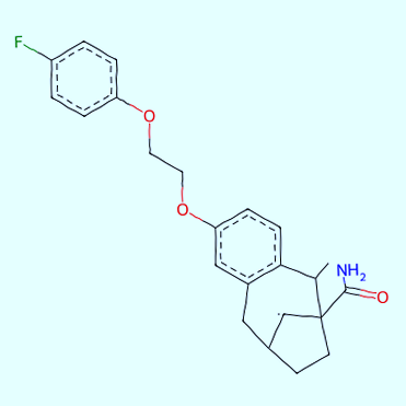 CC1c2ccc(OCCOc3ccc(F)cc3)cc2CC2[CH]C1(C(N)=O)CC2